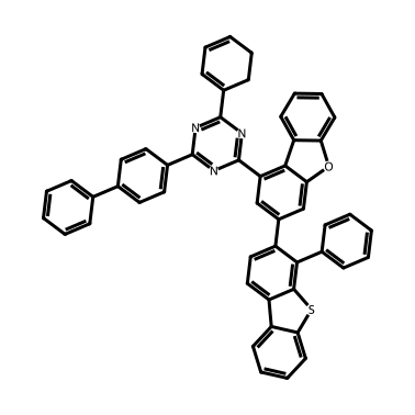 C1=CCCC(c2nc(-c3ccc(-c4ccccc4)cc3)nc(-c3cc(-c4ccc5c(sc6ccccc65)c4-c4ccccc4)cc4oc5ccccc5c34)n2)=C1